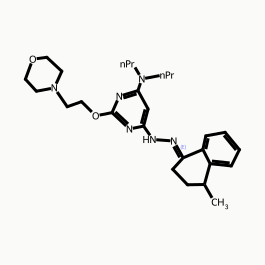 CCCN(CCC)c1cc(N/N=C2\CCC(C)c3ccccc32)nc(OCCN2CCOCC2)n1